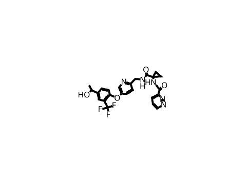 CC(O)c1ccc(Oc2ccc(CNC(=O)C3(NC(=O)c4cccnn4)CC3)nc2)c(C(F)(F)F)c1